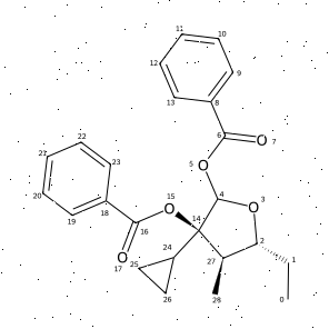 CC[C@H]1OC(OC(=O)c2ccccc2)[C@@](OC(=O)c2ccccc2)(C2CC2)[C@@H]1C